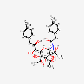 CC(=O)[C@]1(O)[C@@](O)(C(C)=O)[C@@H](C(O)C(=O)Cc2ccc(C)cc2)O[C@@H](NC(=O)Cc2ccc(C)cc2)[C@@]1(O)C(C)=O